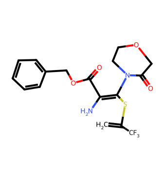 C=C(S/C(=C(\N)C(=O)OCc1ccccc1)N1CCOCC1=O)C(F)(F)F